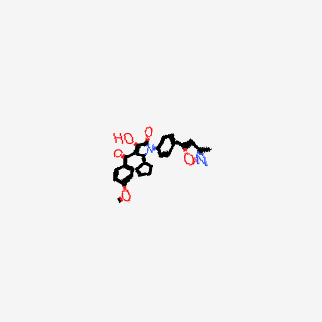 COc1ccc(C(=O)C2=C(O)C(=O)N(c3ccc(-c4cc(C)no4)cc3)C2C2CCCC2)cc1